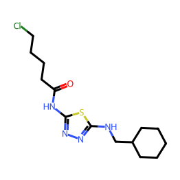 O=C(CCCCCl)Nc1nnc(NCC2CCCCC2)s1